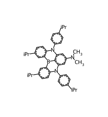 CC(C)c1ccc(N2c3ccc(C(C)C)cc3B3c4cc(C(C)C)ccc4N(c4ccc(C(C)C)cc4)c4cc(N(C)C)cc2c43)cc1